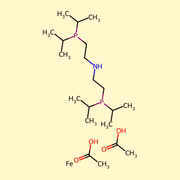 CC(=O)O.CC(=O)O.CC(C)P(CCNCCP(C(C)C)C(C)C)C(C)C.[Fe]